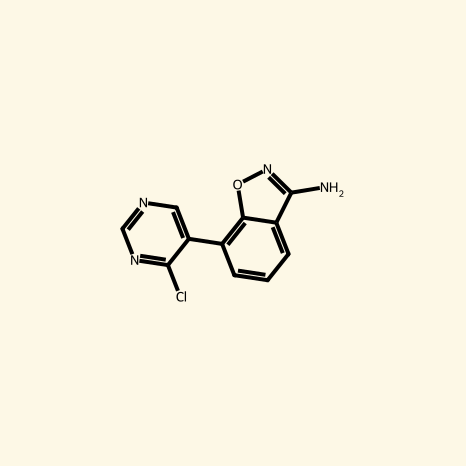 Nc1noc2c(-c3cncnc3Cl)cccc12